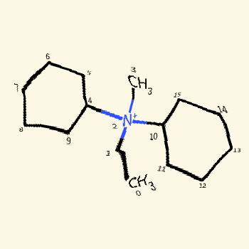 CC[N+](C)(C1CCCCC1)C1CCCCC1